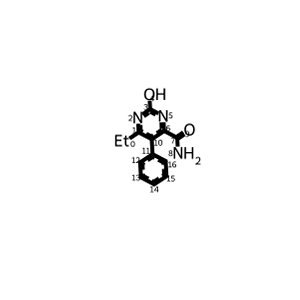 CCc1nc(O)nc(C(N)=O)c1-c1ccccc1